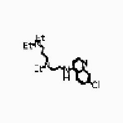 CCN(CC)CCCN(CC)CCNc1ccnc2cc(Cl)ccc12